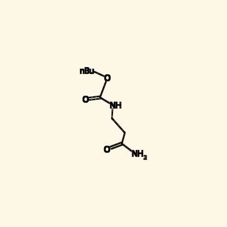 CCCCOC(=O)NCCC(N)=O